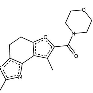 Cc1nc2c(s1)CCc1oc(C(=O)N3CCOCC3)c(C)c1-2